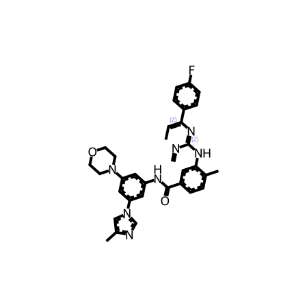 C=N/C(=N\C(=C/C)c1ccc(F)cc1)Nc1cc(C(=O)Nc2cc(N3CCOCC3)cc(-n3cnc(C)c3)c2)ccc1C